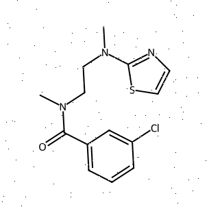 CN(CCN(C)c1nccs1)C(=O)c1cccc(Cl)c1